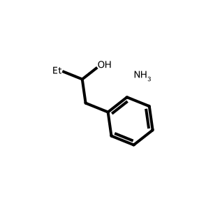 CCC(O)Cc1ccccc1.N